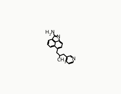 CC(Cc1cccnc1)Cc1ccc2c3c(cccc13)C(N)=N2